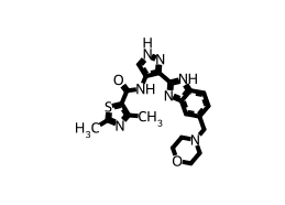 Cc1nc(C)c(C(=O)Nc2c[nH]nc2-c2nc3cc(CN4CCOCC4)ccc3[nH]2)s1